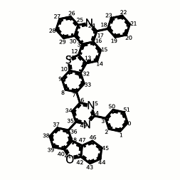 c1ccc(-c2nc(-c3ccc4sc5c(ccc6c(-c7ccccc7)nc7ccccc7c65)c4c3)cc(-c3cccc4oc5ccccc5c34)n2)cc1